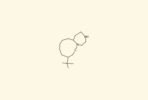 CC(C)(C)C1CCCCCC2CCNCCN2CC1